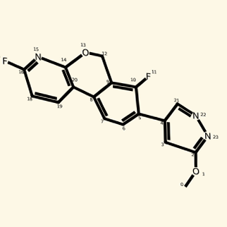 COc1cc(-c2ccc3c(c2F)COc2nc(F)ccc2-3)cnn1